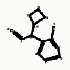 O=CC(c1ccccc1F)C1CCC1